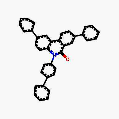 O=c1c2cc(-c3ccccc3)ccc2c2cc(-c3ccccc3)ccc2n1-c1ccc(-c2ccccc2)cc1